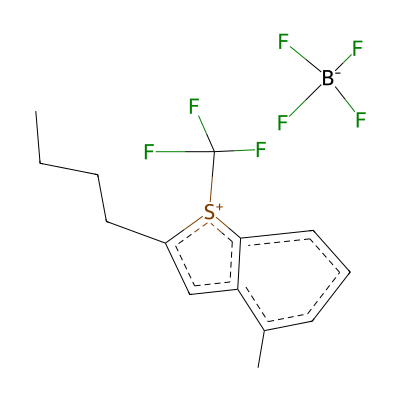 CCCCc1cc2c(C)cccc2[s+]1C(F)(F)F.F[B-](F)(F)F